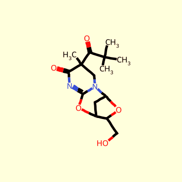 CC(C)(C)C(=O)C1(C)CN2C(=NC1=O)OC1CC2OC1CO